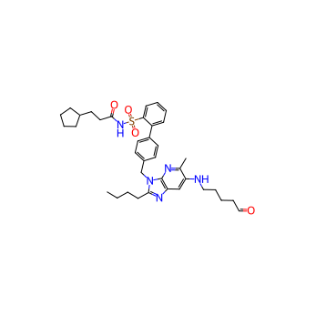 CCCCc1nc2cc(NCCCCC=O)c(C)nc2n1Cc1ccc(-c2ccccc2S(=O)(=O)NC(=O)CCC2CCCC2)cc1